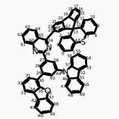 c1ccc2c(c1)Sc1ccccc1C21c2ccccc2-c2ccc(-c3nc(-c4cc(-c5cccc6c5oc5ccccc56)cc(-n5c6ccccc6c6ccccc65)c4)nc4ccccc34)cc21